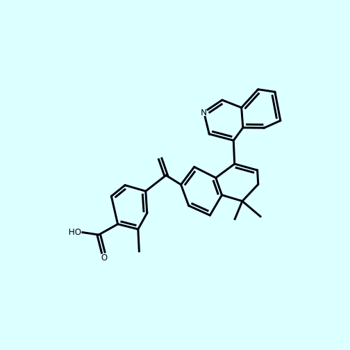 C=C(c1ccc(C(=O)O)c(C)c1)c1ccc2c(c1)C(c1cncc3ccccc13)=CCC2(C)C